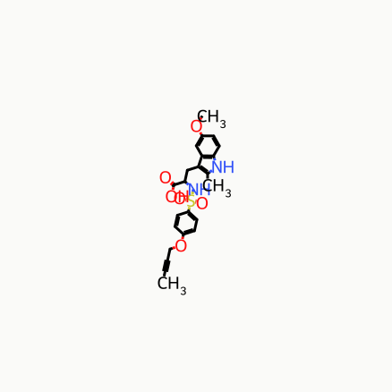 CC#CCOc1ccc(S(=O)(=O)NC(Cc2c(C)[nH]c3ccc(OC)cc23)C(=O)O)cc1